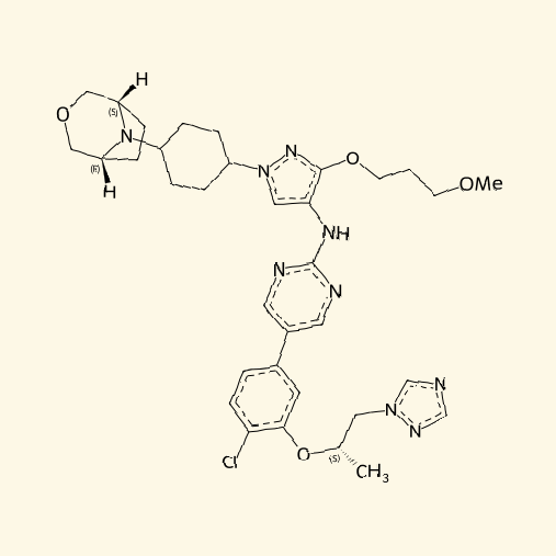 COCCCOc1nn(C2CCC(N3[C@@H]4CC[C@H]3COC4)CC2)cc1Nc1ncc(-c2ccc(Cl)c(O[C@@H](C)Cn3cncn3)c2)cn1